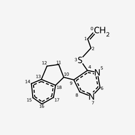 C=CCSc1ncncc1C1CCc2ccccc21